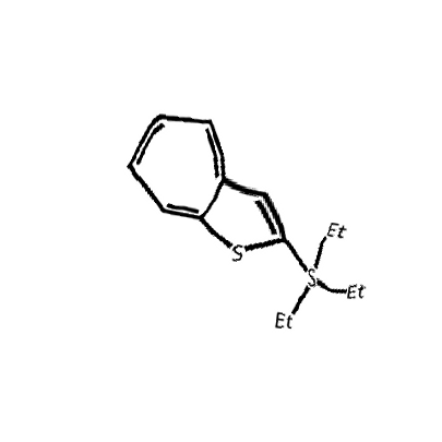 CCS(CC)(CC)c1cc2ccccc2s1